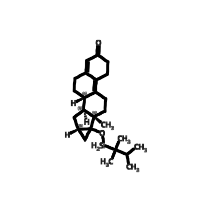 CC(C)C(C)(C)[SiH2]OC12C[C@@H]1C[C@H]1[C@@H]3CCC4=CC(=O)CCC4=C3CC[C@@]12C